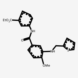 CCOC(=O)c1cccc(NC(=O)c2ccc(OC)c(NCc3cccs3)c2)c1